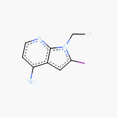 Nc1ccnc2c1cc(I)n2CC(F)(F)F